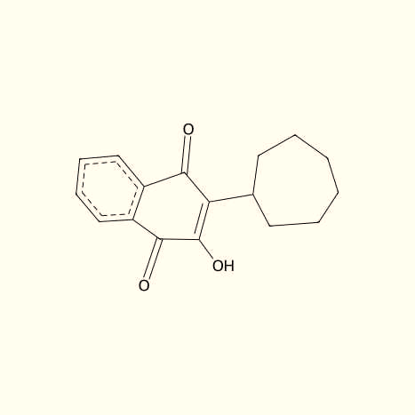 O=C1C(O)=C(C2CCCCCC2)C(=O)c2ccccc21